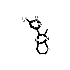 Cc1nc2c(nc1-c1cc(N)[nH]n1)CCCO2